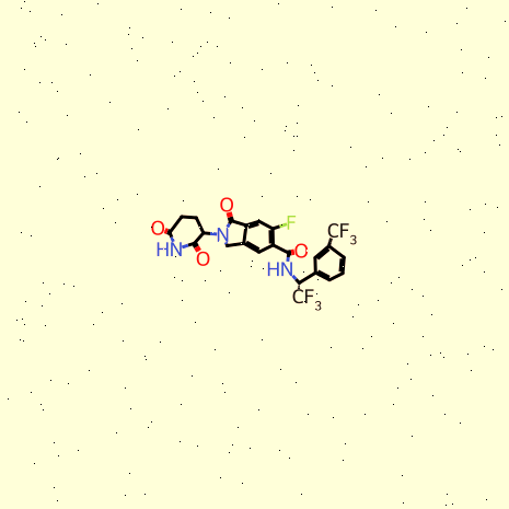 O=C1CCC(N2Cc3cc(C(=O)N[C@H](c4cccc(C(F)(F)F)c4)C(F)(F)F)c(F)cc3C2=O)C(=O)N1